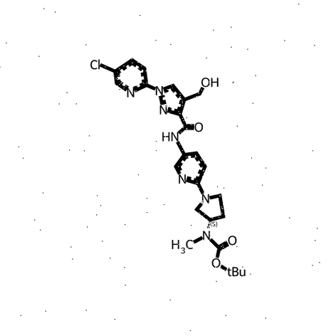 CN(C(=O)OC(C)(C)C)[C@H]1CCN(c2ccc(NC(=O)c3nn(-c4ccc(Cl)cn4)cc3CO)cn2)C1